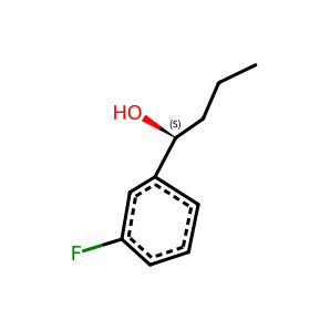 CCC[C@H](O)c1cccc(F)c1